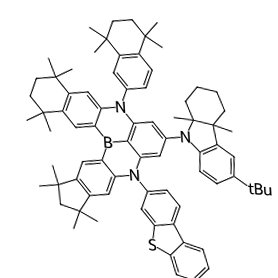 CC(C)(C)c1ccc2c(c1)C1(C)CCCCC1(C)N2c1cc2c3c(c1)N(c1ccc4c(c1)sc1ccccc14)c1cc4c(cc1B3c1cc3c(cc1N2c1ccc2c(c1)C(C)(C)CCC2(C)C)C(C)(C)CCC3(C)C)C(C)(C)CC4(C)C